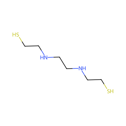 SCCNCCNCCS